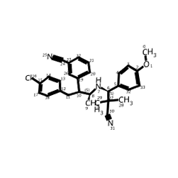 COc1ccc([C@H](N[C@@H](C)C(Cc2ccc(Cl)cc2)c2cccc(C#N)c2)C(C)(C)C#N)cc1